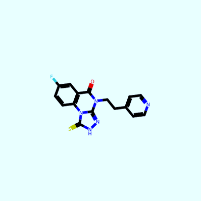 O=c1c2cc(F)ccc2n2c(=S)[nH]nc2n1CCc1ccncc1